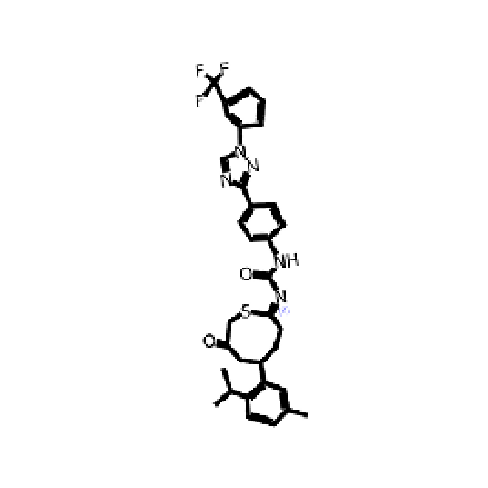 Cc1ccc(C(C)C)c(C2CC/C(=N/C(=O)Nc3ccc(-c4ncn(-c5cccc(C(F)(F)F)c5)n4)cc3)SCC(=O)C2)c1